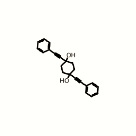 OC1(C#Cc2ccccc2)CCC(O)(C#Cc2ccccc2)CC1